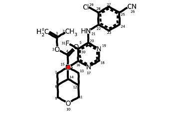 C=C(C)OC(=O)N1CC2COCC(C1)C2Oc1ncnc(Nc2ccc(C#N)cc2Cl)c1F